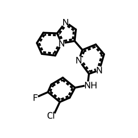 Fc1ccc(Nc2nccc(-c3cnc4ccccn34)n2)cc1Cl